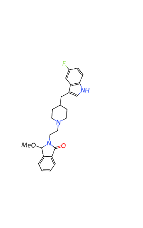 COC1c2ccccc2C(=O)N1CCN1CCC(Cc2c[nH]c3ccc(F)cc23)CC1